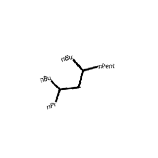 CCCCCC([CH]C(CCC)CCCC)CCCC